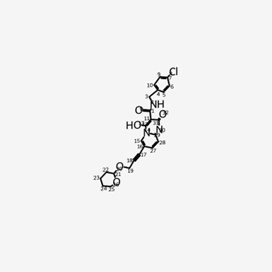 O=C(NCc1ccc(Cl)cc1)c1c(O)n2cc(C#CCOC3CCCCO3)ccc2nc1=O